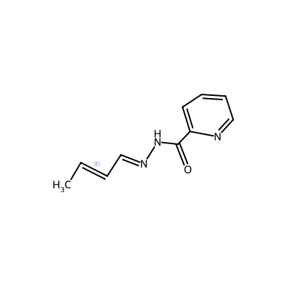 C/C=C/C=NNC(=O)c1ccccn1